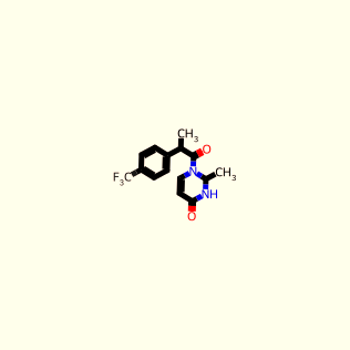 CC(C(=O)N1C=CC(=O)NC1C)c1ccc(C(F)(F)F)cc1